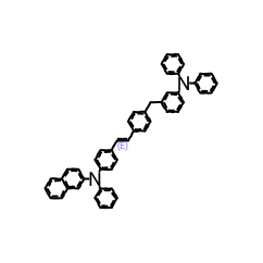 C(=C\c1ccc(N(c2ccccc2)c2ccc3ccccc3c2)cc1)/c1ccc(Cc2cccc(N(c3ccccc3)c3ccccc3)c2)cc1